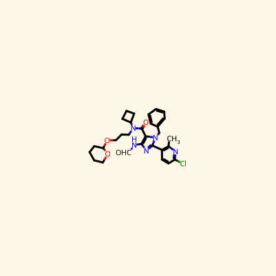 Cc1nc(Cl)ccc1-c1nc(NC=O)c(C(=O)N(CCCOC2CCCCO2)C2CCC2)n1Cc1ccccc1